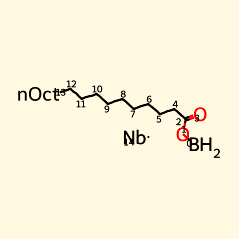 BOC(=O)CCCCCCCCCCCCCCCCC.[Nb]